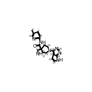 Cc1ccc(NC(=O)C2(CN)CCN(c3ncnc4[nH]ccc34)CC2)nc1